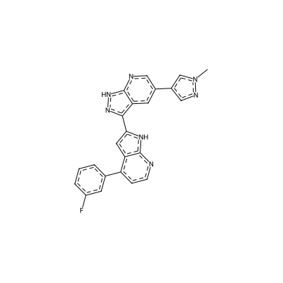 Cn1cc(-c2cnc3[nH]nc(-c4cc5c(-c6cccc(F)c6)ccnc5[nH]4)c3c2)cn1